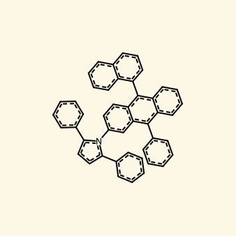 c1ccc(-c2c3ccccc3c(-c3cccc4ccccc34)c3ccc(-n4c(-c5ccccc5)ccc4-c4ccccc4)cc23)cc1